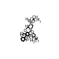 COC1CCN(c2nc(-c3c(O)cccc3F)c(Cl)c3c2C(=O)N2CCN(C(=O)OC(C)(C)C)C[C@@H]2CO3)C1(C)C